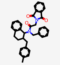 Cc1ccc(CC2CCc3ccccc3C2N(Cc2ccccc2)C(=O)CN2C(=O)c3ccccc3C2=O)cc1